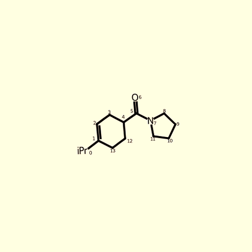 CC(C)C1=CCC(C(=O)N2CCCC2)CC1